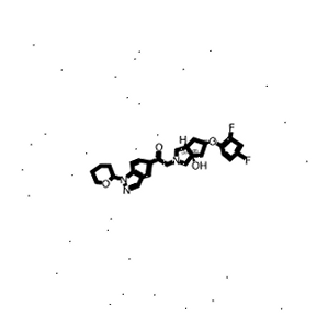 O=C(CN1C[C@@H]2C[C@@H](Oc3ccc(F)cc3F)C[C@]2(O)C1)c1ccc2c(cnn2C2CCCCO2)c1